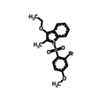 [CH2]COc1c(C)n(S(=O)(=O)c2ccc(OC)cc2Br)c2ccccc12